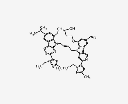 C=C(N)c1cc(CC)c2c(c1)c1cnc(-c3cc(C)nn3CC)nc1n2C/C=C/Cn1c2cc(-c3cc(C)nn3CC)ncc2c2cc(C=O)cc(OCCCO)c21